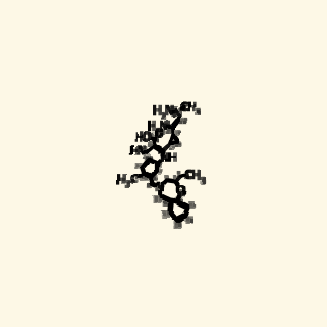 CC[C@@H]1CN(Cc2cc(N/C(=C(\C=N)C(=O)O)[C@@H]3CC3/C(N)=C/N(C)N)ccc2C)Cc2ccccc2O1